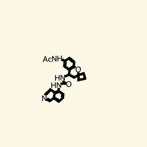 CC(=O)Nc1ccc2c(c1)C(NC(=O)Nc1cccc3cnccc13)CC1(CCC1)O2